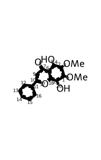 COc1c(OC)c(O)c2c(=O)cc(-c3ccccc3)oc2c1O